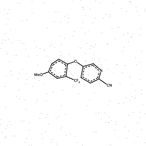 COc1ccc(Oc2ccc(C#N)nc2)c(C(F)(F)F)c1